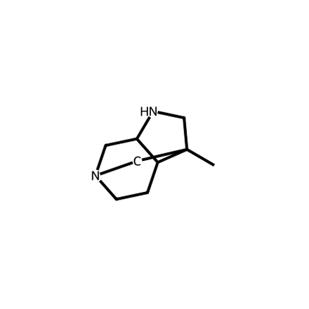 CC12CNC3CN(CCC31)C2